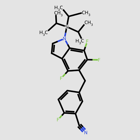 CC(C)[Si](C(C)C)(C(C)C)n1ccc2c(F)c(Cc3ccc(F)c(C#N)c3)c(F)c(F)c21